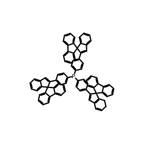 C1=CC2=C(CC1)C1(C(c3ccc(P(c4ccc(C5=Cc6ccccc6C56c5ccccc5-c5ccccc56)cc4)c4ccc(C5=Cc6ccccc6C56c5ccccc5-c5ccccc56)cc4)cc3)=C2)c2ccccc2-c2ccccc21